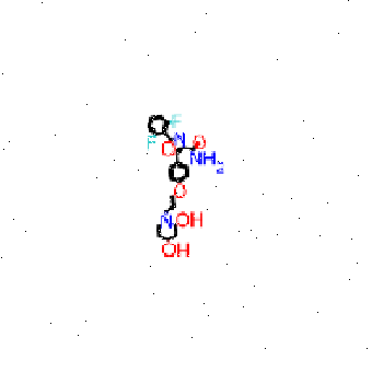 NC(=O)c1nc(-c2c(F)cccc2F)oc1-c1ccc(OCCCN2CCC(O)CC2O)cc1